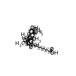 C=C(C)[C@@H]1CC[C@]2(C(=O)NCCCCCCCCCC(=O)O)CC[C@]3(C)[C@H](CCC4[C@@]5(C)CC[C@H](O)C(C)(C)[C@@H]5CC[C@]43C)[C@@H]12